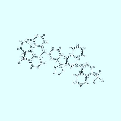 CCC1(CC)c2cc(C(c3ccccc3)c3cccc4c3c3ccccc3n4C)ccc2-c2c1cc(-c1ccc([Si](C)(C)C)c3ccccc13)c1ccccc21